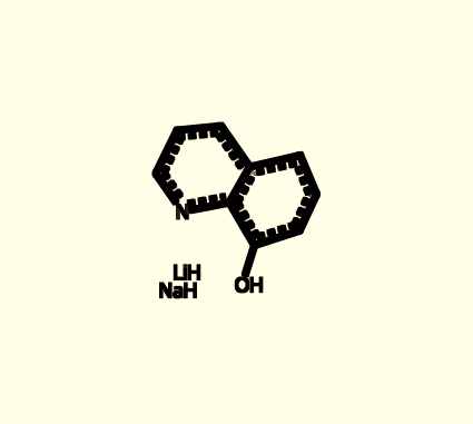 Oc1cccc2cccnc12.[LiH].[NaH]